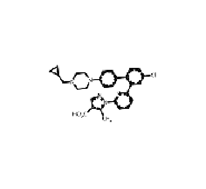 O=C(O)c1cnn(-c2cccc(-c3cc(Cl)ccc3-c3ccc(N4CCN(CC5CC5)CC4)cc3)n2)c1C(F)(F)F